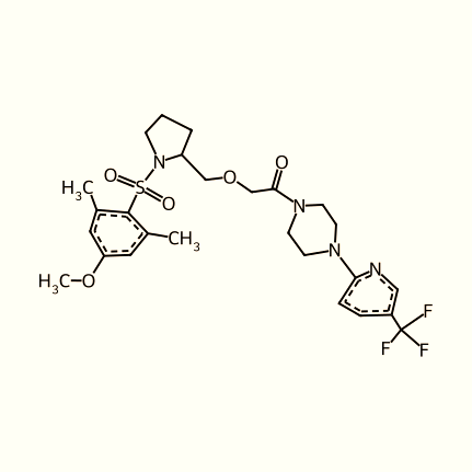 COc1cc(C)c(S(=O)(=O)N2CCCC2COCC(=O)N2CCN(c3ccc(C(F)(F)F)cn3)CC2)c(C)c1